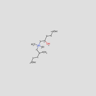 CCCCCCCCCCCCC(C)C[N+](C)(CC)CC(O)CCCCCCCCCCCC